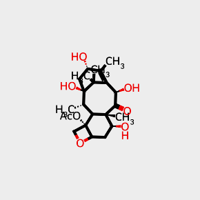 CC(=O)O[C@@]12COC1C[C@H](O)[C@@]1(C)C(=O)[C@H](O)C3=C(C)[C@@H](O)C[C@@](O)([C@@H](C)C21)C3(C)C